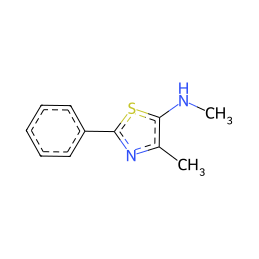 CNc1sc(-c2ccccc2)nc1C